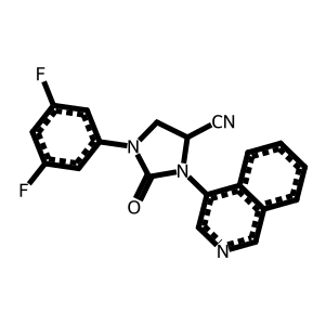 N#CC1CN(c2cc(F)cc(F)c2)C(=O)N1c1cncc2ccccc12